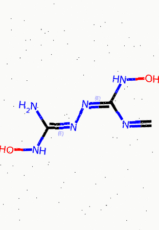 C=N/C(=N\N=C(/N)NO)NO